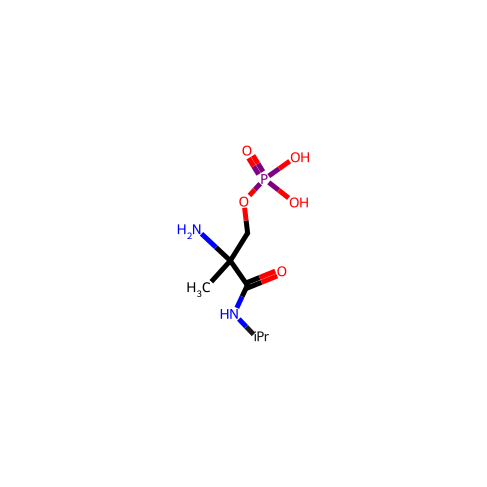 CC(C)NC(=O)C(C)(N)COP(=O)(O)O